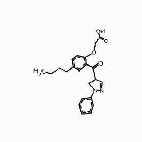 CCCCc1ccc(OCC(=O)O)c(C(=O)C2C=NN(c3ccccc3)C2)c1